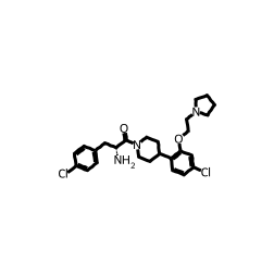 N[C@H](Cc1ccc(Cl)cc1)C(=O)N1CCC(c2ccc(Cl)cc2OCCN2CCCC2)CC1